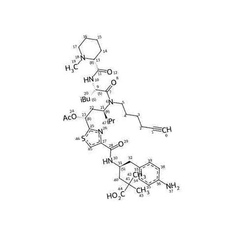 C#CCCCCN(C(=O)[C@@H](NC(=O)[C@H]1CCCCN1C)[C@@H](C)CC)[C@H](C[C@@H](OC(C)=O)c1nc(C(=O)N[C@@H](Cc2ccc(N)cc2)CC(C)(C)C(=O)O)cs1)C(C)C